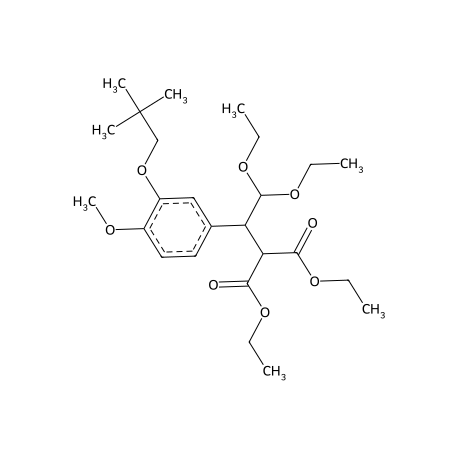 CCOC(=O)C(C(=O)OCC)C(c1ccc(OC)c(OCC(C)(C)C)c1)C(OCC)OCC